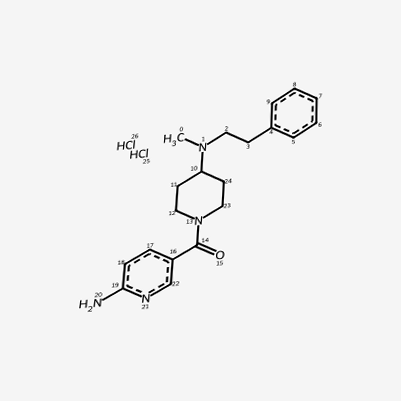 CN(CCc1ccccc1)C1CCN(C(=O)c2ccc(N)nc2)CC1.Cl.Cl